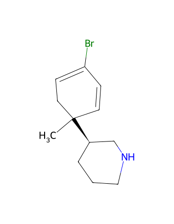 CC1([C@@H]2CCCNC2)C=CC(Br)=CC1